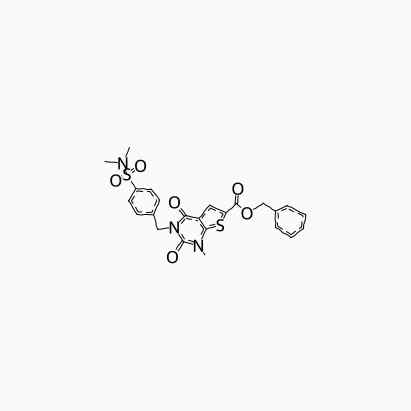 CN(C)S(=O)(=O)c1ccc(Cn2c(=O)c3cc(C(=O)OCc4ccccc4)sc3n(C)c2=O)cc1